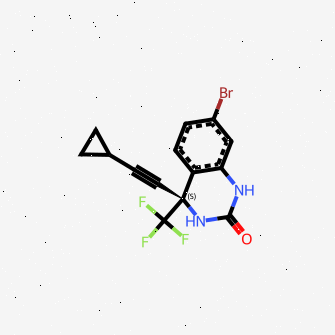 O=C1Nc2cc(Br)ccc2[C@@](C#CC2CC2)(C(F)(F)F)N1